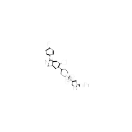 CCCn1cc(S(=O)(=O)N2CCC(c3cc4cnn(-c5ccc(F)cc5)c4cc3Cl)CC2)cn1